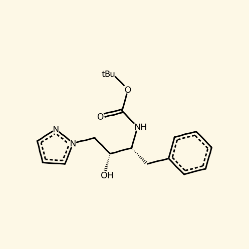 CC(C)(C)OC(=O)N[C@H](Cc1ccccc1)[C@H](O)Cn1cccn1